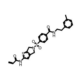 C=CC(=O)Nc1cc2c(s1)CN(S(=O)(=O)c1ccc(C(=O)NCCc3cccc(C)c3)cc1)C2